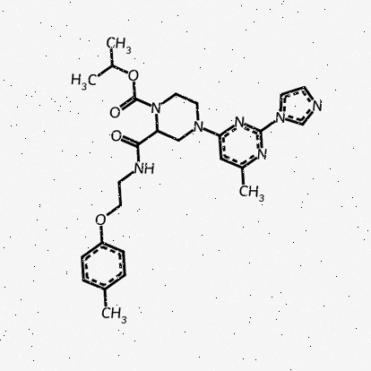 Cc1ccc(OCCNC(=O)C2CN(c3cc(C)nc(-n4ccnc4)n3)CCN2C(=O)OC(C)C)cc1